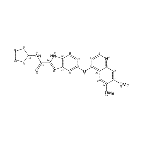 COc1cc2nccc(Oc3ccc4[nH]c(C(=O)NC5CCCC5)cc4c3)c2cc1OC